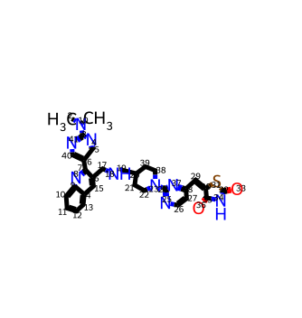 CN(C)c1ncc(-c2nc3ccccc3cc2CNCC2CCN(c3nccc(/C=C4/SC(=O)NC4=O)n3)CC2)cn1